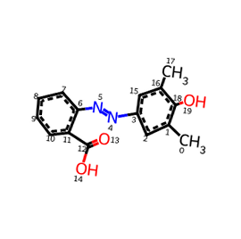 Cc1cc(N=Nc2ccccc2C(=O)O)cc(C)c1O